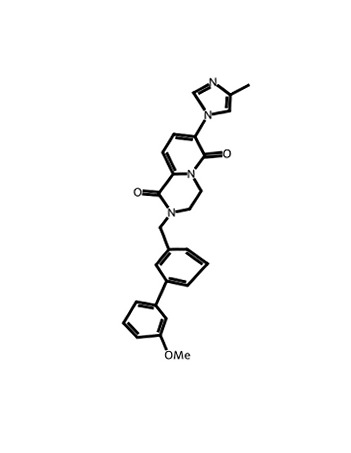 COc1cccc(-c2cccc(CN3CCn4c(ccc(-n5cnc(C)c5)c4=O)C3=O)c2)c1